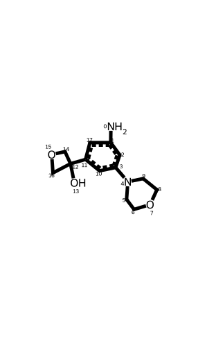 Nc1cc(N2CCOCC2)cc(C2(O)COC2)c1